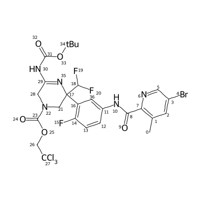 Cc1cc(Br)cnc1C(=O)Nc1ccc(F)c(C2(C(F)F)CN(C(=O)OCC(Cl)(Cl)Cl)CC(NC(=O)OC(C)(C)C)=N2)c1